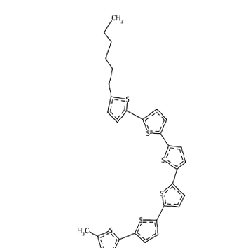 CCCCCCc1ccc(-c2ccc(-c3ccc(-c4ccc(-c5ccc(-c6ccc(C)s6)s5)s4)s3)s2)s1